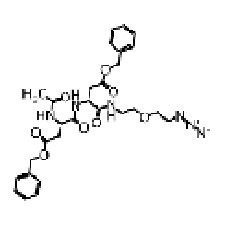 CC(=O)N[C@H](CC(=O)OCc1ccccc1)C(=O)N[C@@H](CC(=O)OCc1ccccc1)C(=O)NCCOCCN=[N+]=[N-]